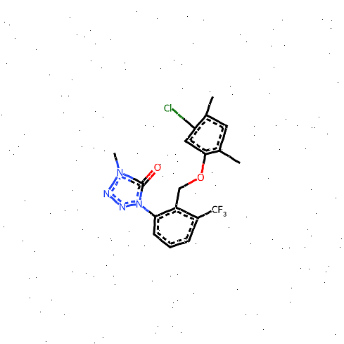 Cc1cc(C)c(OCc2c(-n3nnn(C)c3=O)cccc2C(F)(F)F)cc1Cl